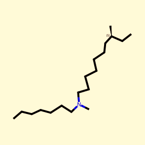 CCCCCCCN(C)CCCCCCC[C@@H](C)CC